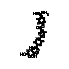 N=C(N)c1ccc(OC(=O)c2cnc(N3CCC(C(=O)N[C@@H](CC(=O)O)C(=O)O)CC3)s2)cc1